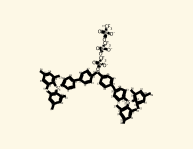 Cc1cc(C)c([S+](c2ccc(-c3ccc([I+]c4ccc(-c5ccc([S+](c6c(C)cc(C)cc6C)c6c(C)cc(C)cc6C)cc5)cc4)cc3)cc2)c2c(C)cc(C)cc2C)c(C)c1.O=S(=O)([O-])C(F)(F)F.O=S(=O)([O-])C(F)(F)F.O=S(=O)([O-])C(F)(F)F